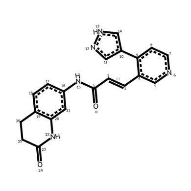 O=C(/C=C/c1cnccc1-c1cn[nH]c1)Nc1ccc2c(c1)NC(=O)CC2